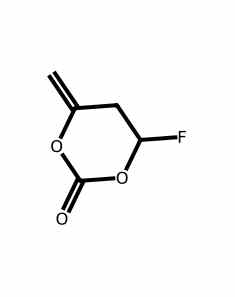 C=C1CC(F)OC(=O)O1